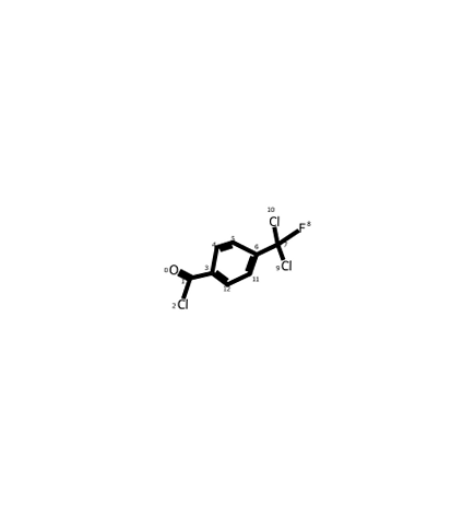 O=C(Cl)c1ccc(C(F)(Cl)Cl)cc1